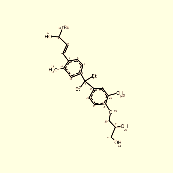 CCC(CC)(c1ccc(C=CC(O)C(C)(C)C)c(C)c1)c1ccc(OC[C@@H](O)CO)c(C)c1